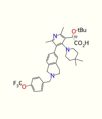 Cc1nc(C)c([C@H](OC(C)(C)C)C(=O)O)c(N2CCC(C)(C)CC2)c1-c1ccc2c(c1)CCN(Cc1ccc(OC(F)(F)F)cc1)C2